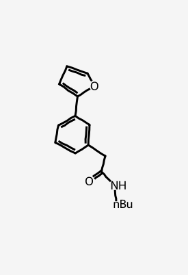 CCCCNC(=O)Cc1cccc(-c2ccco2)c1